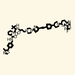 Cc1ncsc1-c1ccc(CNC(=O)[C@@H]2CCCN2C(=O)[C@@H](NC(=O)CCN2CCN(c3ccc(C#Cc4ccc(C5CCN(C6=Nn7c(nnc7C(F)(F)F)CC6)CC5)cc4)cn3)CC2)C(C)(C)C)cc1